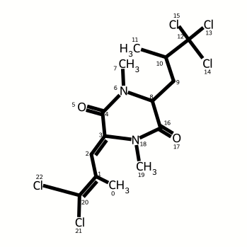 CC(/C=C1/C(=O)N(C)C(CC(C)C(Cl)(Cl)Cl)C(=O)N1C)=C(Cl)Cl